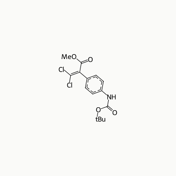 COC(=O)C(=C(Cl)Cl)c1ccc(NC(=O)OC(C)(C)C)cc1